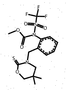 COC(=O)N(c1ccccc1CN1CC(C)(C)COC1=S)S(=O)(=O)C(F)(F)F